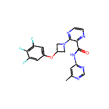 Cc1cc(NC(=O)c2nccnc2N2CC(Oc3cc(F)c(F)c(F)c3)C2)ncn1